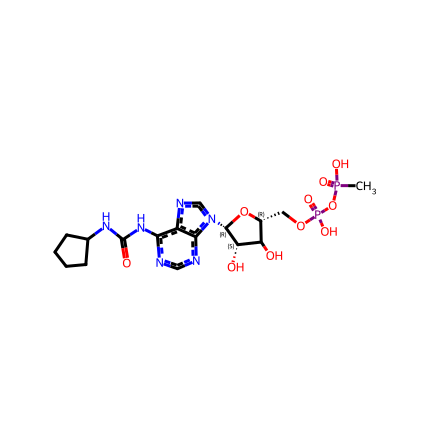 CP(=O)(O)OP(=O)(O)OC[C@H]1O[C@@H](n2cnc3c(NC(=O)NC4CCCC4)ncnc32)[C@@H](O)C1O